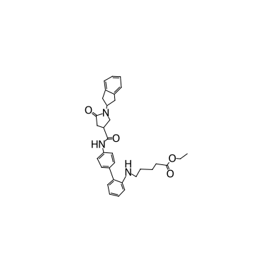 CCOC(=O)CCCCNc1ccccc1-c1ccc(NC(=O)C2CC(=O)N(C3Cc4ccccc4C3)C2)cc1